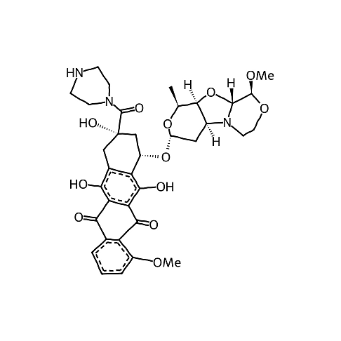 COc1cccc2c1C(=O)c1c(O)c3c(c(O)c1C2=O)C[C@@](O)(C(=O)N1CCNCC1)C[C@@H]3O[C@H]1C[C@H]2[C@H](O[C@@H]3[C@@H](OC)OCCN32)[C@H](C)O1